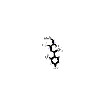 C=C(/C=C(C)\C(C)=C/NC)c1ccc(C(C)C)cc1C